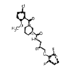 COc1ccc(Cl)cc1C(=O)N1CCC[C@H](C(=O)NCC(=O)COc2c(F)cccc2F)C1